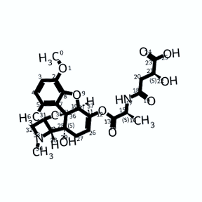 COc1ccc(C)c2c1O[C@H]1C(OC(=O)[C@H](C)NC(=O)C[C@H](O)C(=O)O)=CC[C@@]3(O)[C@H]4C(CN4C)C[C@]213